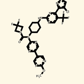 COc1ncc(-c2cnc(N(C(=O)N3CC(F)(F)C3)C3CCC(Nc4ncc(C(F)(F)F)c(-c5n[nH]cc5Cl)n4)CC3)cn2)cn1